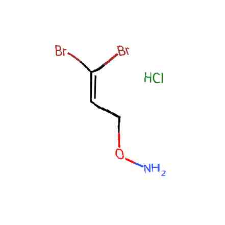 Cl.NOCC=C(Br)Br